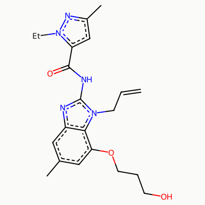 C=CCn1c(NC(=O)c2cc(C)nn2CC)nc2cc(C)cc(OCCCO)c21